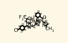 Cc1csc(NC(=O)c2ccccc2-n2cnc(Cn3nc(-c4ccc(Cl)cc4)n(CC(O)C(F)(F)F)c3=O)n2)n1